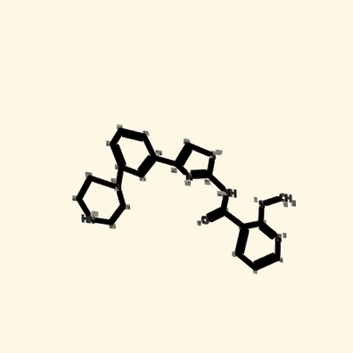 CSc1ncccc1C(=O)Nc1nc(-c2cccc(N3CCNCC3)c2)cs1